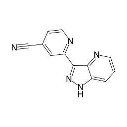 N#Cc1ccnc(-c2n[nH]c3cccnc23)c1